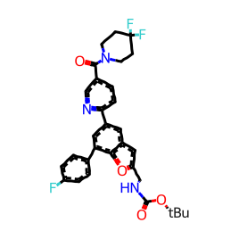 CC(C)(C)OC(=O)NCc1cc2cc(-c3ccc(C(=O)N4CCC(F)(F)CC4)cn3)cc(-c3ccc(F)cc3)c2o1